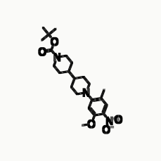 COc1cc(N2CCC(C3CCN(C(=O)OC(C)(C)C)CC3)CC2)c(C)cc1[N+](=O)[O-]